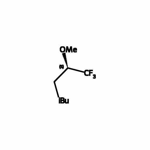 CCC(C)C[C@H](OC)C(F)(F)F